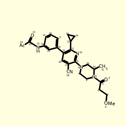 COCCC(=O)N1CCN(c2nc(C3CC3)c(-c3cccc(NC(=O)C(C)=O)c3)cc2C#N)CC1C